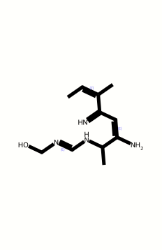 C/C=C(/C)C(=N)/C=C(/N)C(C)N/C=N/CO